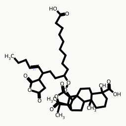 CCC/C=C/C(CCC(CCCCCCCCC(=O)O)OOC1C(C(C)C)C2CC3C4(C)CCCC(C)(C(=O)O)C4CCC13C1C(=O)OC(=O)C21)C1CC(=O)OC1=O